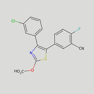 N#Cc1cc(-c2sc(OC(=O)O)nc2-c2cccc(Cl)c2)ccc1F